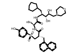 CCCC[C@H](NC(=O)[C@H](Cc1cccc2ccccc12)CS(=O)(=O)c1ccc(O)cc1)C(=O)N[C@@H](CC1CCCCC1)[C@@H](O)[C@@H](O)CN1CCOCC1